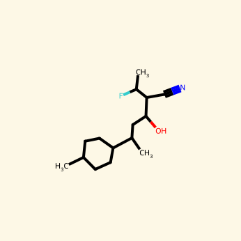 CC1CCC(C(C)CC(O)C(C#N)C(C)F)CC1